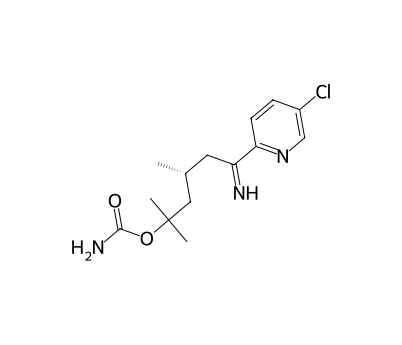 C[C@H](CC(=N)c1ccc(Cl)cn1)CC(C)(C)OC(N)=O